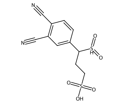 N#Cc1ccc(C(CCS(=O)(=O)O)[SH](=O)=O)cc1C#N